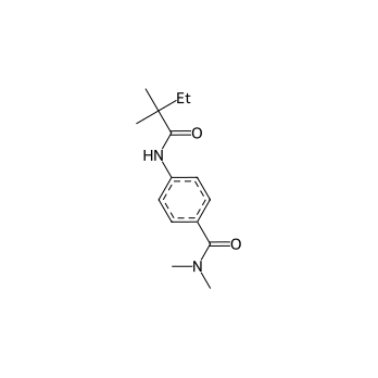 CCC(C)(C)C(=O)Nc1ccc(C(=O)N(C)C)cc1